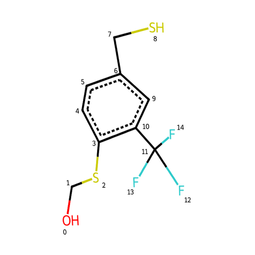 OCSc1ccc(CS)cc1C(F)(F)F